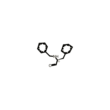 O=C[C@H](Cc1ccccc1)NCc1ccccc1